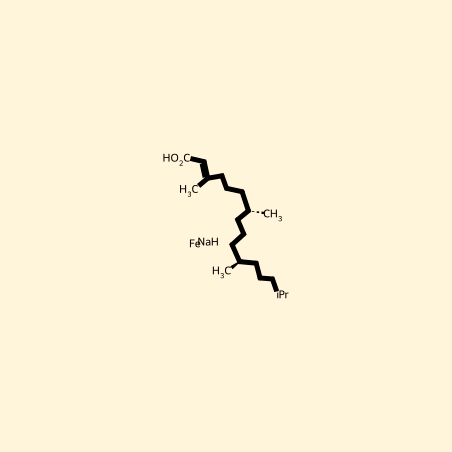 C/C(=C\C(=O)O)CCC[C@H](C)CCC[C@H](C)CCCC(C)C.[Fe].[NaH]